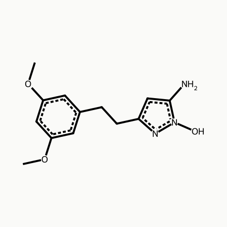 COc1cc(CCc2cc(N)n(O)n2)cc(OC)c1